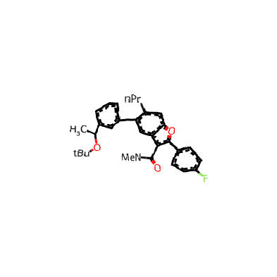 CCCc1cc2oc(-c3ccc(F)cc3)c(C(=O)NC)c2cc1-c1cccc(C(C)OC(C)(C)C)c1